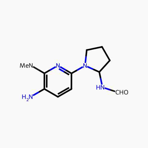 CNc1nc(N2CCCC2NC=O)ccc1N